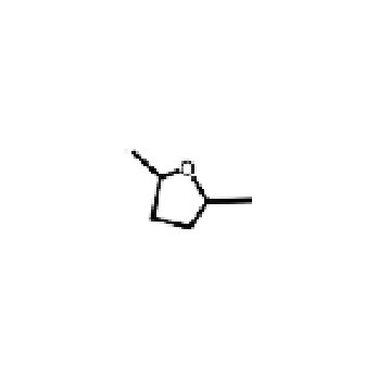 [CH2]C1CCC(C)O1